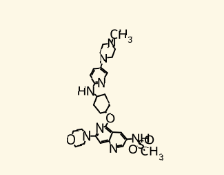 CN1CCN(c2ccc(NC3CCC(Oc4nc(N5CCOCC5)cc5ncc(NS(C)(=O)=O)cc45)CC3)nc2)CC1